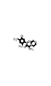 Cc1cc([N+](=O)[O-])c(Cl)cc1N(C)C(=O)[C@H](C)N1CCOCC1